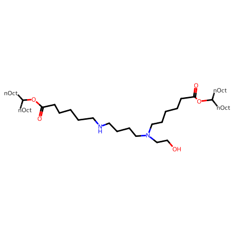 CCCCCCCCC(CCCCCCCC)OC(=O)CCCCCNCCCCN(CCO)CCCCCC(=O)OC(CCCCCCCC)CCCCCCCC